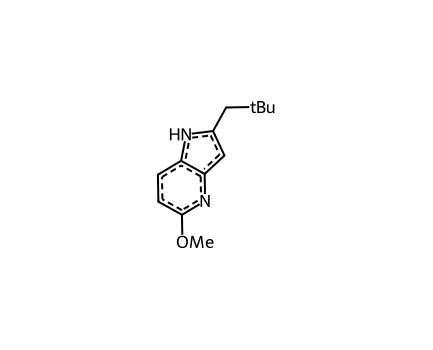 COc1ccc2[nH]c(CC(C)(C)C)cc2n1